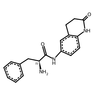 N[C@@H](Cc1ccccc1)C(=O)Nc1ccc2c(c1)CCC(=O)N2